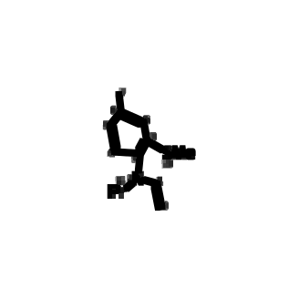 C=CN(c1ccc(C)cc1SC)C(C)C